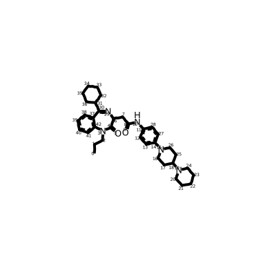 CCCN1C(=O)C(CC(=O)Nc2ccc(N3CCC(N4CCCCC4)CC3)cc2)N=C(C2CCCCC2)c2ccccc21